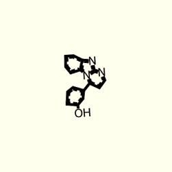 Oc1cccc(-c2ccnc3nc4ccccc4n23)c1